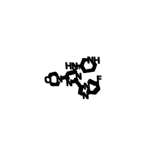 Fc1ccc2ncc(-c3nc(N[C@@H]4CCCNC4)cc(N4CCOCC4)n3)n2c1